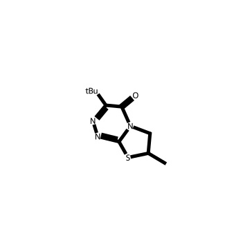 CC1Cn2c(nnc(C(C)(C)C)c2=O)S1